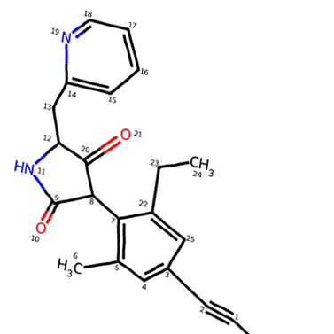 CC#Cc1cc(C)c(C2C(=O)NC(Cc3ccccn3)C2=O)c(CC)c1